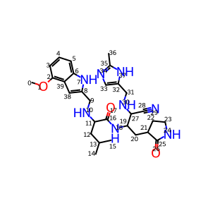 COc1cccc2[nH]c(CNC(CC(C)C)C(=O)NC(CC3CCNC3=O)C(C#N)NCc3cnc(C)[nH]3)cc12